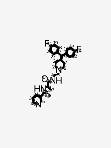 O=C(NCCN1CCC(=C(c2ccc(F)cc2)c2ccc(F)cc2)CC1)C1CSC(c2cccnc2)N1